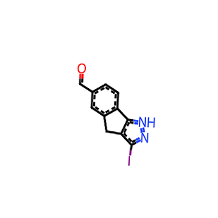 O=Cc1ccc2c(c1)Cc1c(I)n[nH]c1-2